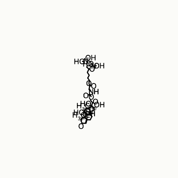 C[C@]12C=CC(=O)C=C1CC[C@H]1[C@@H]3C[C@@H](O)[C@](O)(C(=O)COC(=O)NCC(=O)OCCCCC(CON(O)O)ON(O)O)[C@@]3(C)C[C@H](O)[C@@]12F